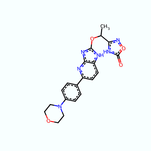 CC(Oc1nc2nc(-c3ccc(N4CCOCC4)cc3)ccc2[nH]1)c1noc(=O)[nH]1